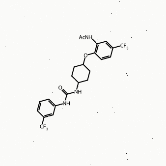 CC(=O)Nc1cc(C(F)(F)F)ccc1OC1CCC(NC(=O)Nc2cccc(C(F)(F)F)c2)CC1